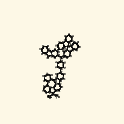 CC1(C)c2cccc3c2-c2c1ccc1c4ccc(-c5ccc(N(c6ccc7c(c6)C6(c8ccccc8-c8ccccc86)c6ccccc6-7)c6ccc7c(c6)oc6ccccc67)cc5)cc4n(c21)-c1ccccc1-3